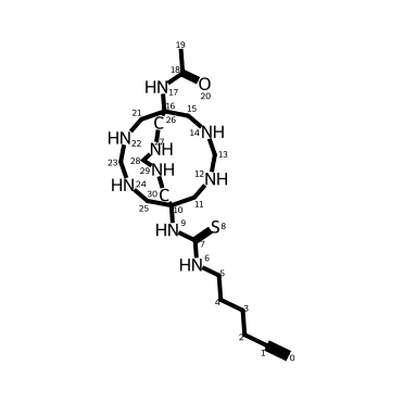 C#CCCCCNC(=S)NC12CNCNCC(NC(C)=O)(CNCNC1)CNCNC2